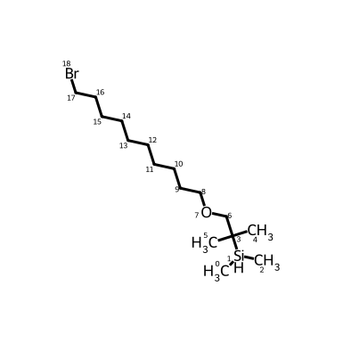 C[SiH](C)C(C)(C)COCCCCCCCCCCBr